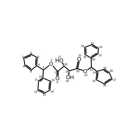 O=C(OC(c1ccccc1)c1ccccc1)[C@@H](O)[C@H](O)C(=O)OC(c1ccccc1)c1ccccc1